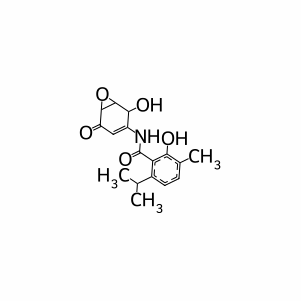 Cc1ccc(C(C)C)c(C(=O)NC2=CC(=O)C3OC3C2O)c1O